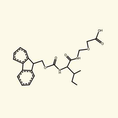 CCC(C)C(NC(=O)OCC1c2ccccc2-c2ccccc21)C(=O)NCOCC(=O)O